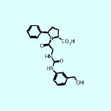 O=C(NCC(=O)N1C(c2ccccc2)CC[C@H]1C(=O)O)Nc1cccc(CO)c1